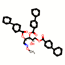 CON=C[C@@H](OC(=O)c1ccc(-c2ccccc2)cc1)[C@@H](OC(=O)c1ccc(-c2ccccc2)cc1)[C@@H](O)COC(=O)c1ccc(-c2ccccc2)cc1